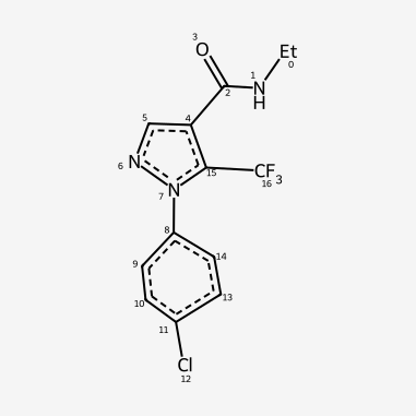 CCNC(=O)c1cnn(-c2ccc(Cl)cc2)c1C(F)(F)F